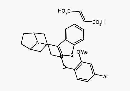 COc1cc(C(C)=O)ccc1OCCCN1C2CCC1CC(c1nsc3ccccc13)C2.O=C(O)C=CC(=O)O